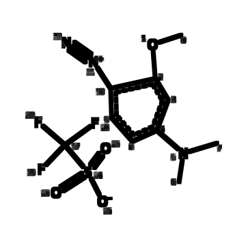 COc1cc(N(C)C)ccc1[N+]#N.O=S(=O)([O-])C(F)(F)F